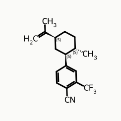 C=C(C)[C@H]1CC[C@H](C)[C@@H](c2ccc(C#N)c(C(F)(F)F)c2)C1